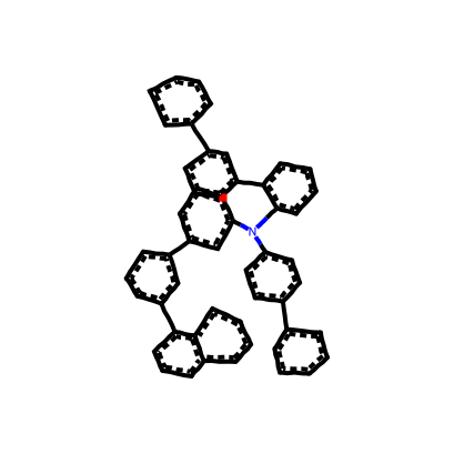 c1ccc(-c2ccc(N(c3cccc(-c4cccc(-c5cccc6ccccc56)c4)c3)c3ccccc3-c3cccc(-c4ccccc4)c3)cc2)cc1